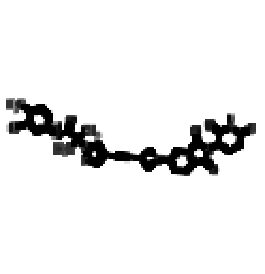 CC(C)(C(=O)Nc1ccc(C(F)(F)F)c(Cl)c1)n1cc(C#CC2CN(c3ccc4c(c3)C(=O)N(C3CCC(=O)NC3=O)C4=O)C2)cn1